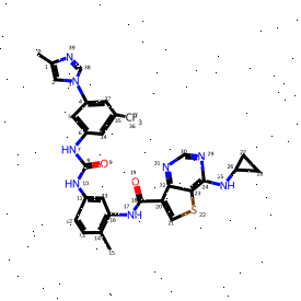 Cc1cn(-c2cc(NC(=O)Nc3ccc(C)c(NC(=O)c4csc5c(NC6CC6)ncnc45)c3)cc(C(F)(F)F)c2)cn1